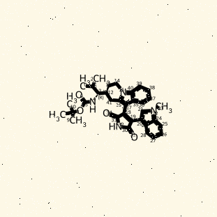 CC(C)[C@@H](NC(=O)OC(C)(C)C)[C@H]1CCn2c(c(C3=C(c4cn(C)c5ccccc45)C(=O)NC3=O)c3ccccc32)C1